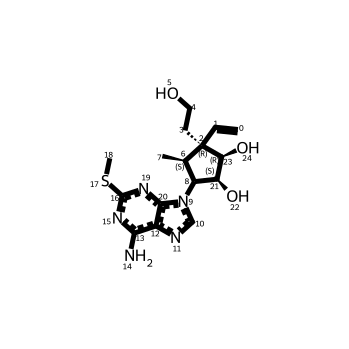 C=C[C@]1(CCO)[C@H](C)C(n2cnc3c(N)nc(SC)nc32)[C@H](O)[C@@H]1O